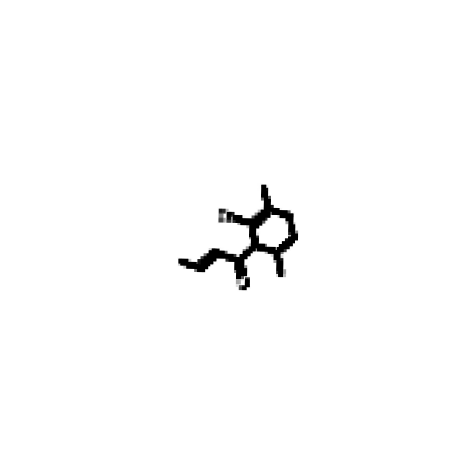 CC=CC(=O)C1C(CC)=C(C)CCC1C